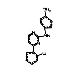 Nc1ccc(Nc2nccc(-c3ccccc3Cl)n2)cc1